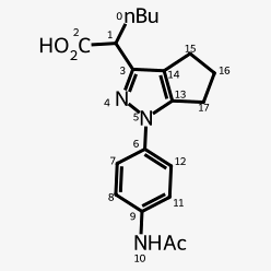 CCCCC(C(=O)O)c1nn(-c2ccc(NC(C)=O)cc2)c2c1CCC2